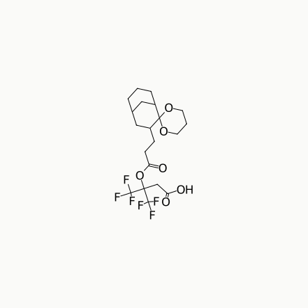 O=C(O)CC(OC(=O)CCC1CC2CCCC(C2)C12OCCCO2)(C(F)(F)F)C(F)(F)F